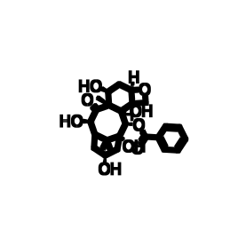 CC1(C)C2C[C@@H](O)C[C@@]1(O)[C@@H](OC(=O)c1ccccc1)[C@@H]1[C@]3(O)CO[C@@H]3C[C@H](O)[C@@]1(C)C(=O)[C@@H]2O